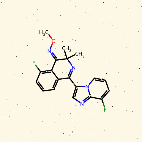 CON=C1c2c(F)cccc2C(c2cnc3c(F)cccn23)=NC1(C)C